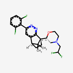 CC1(C)[C@H]2CC[C@]1([C@H]1CN(CC(F)F)CCO1)c1nnc(-c3c(F)cccc3F)cc12